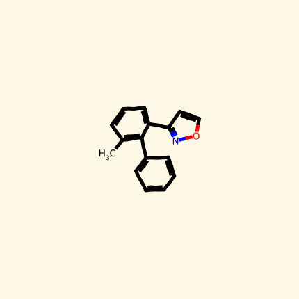 Cc1cccc(-c2ccon2)c1-c1ccccc1